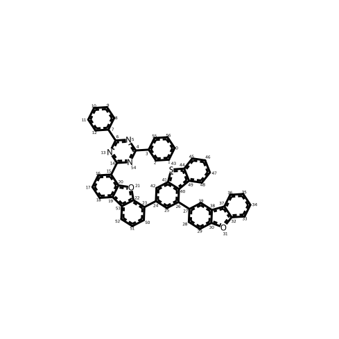 c1ccc(-c2nc(-c3ccccc3)nc(-c3cccc4c3oc3c(-c5cc(-c6ccc7oc8ccccc8c7c6)c6c(c5)sc5ccccc56)cccc34)n2)cc1